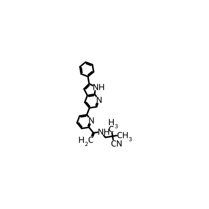 C=C(NCC(C)(C)C#N)c1cccc(-c2cnc3[nH]c(-c4ccccc4)cc3c2)n1